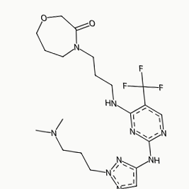 CN(C)CCCn1ncc(Nc2ncc(C(F)(F)F)c(NCCCN3CCCOCC3=O)n2)n1